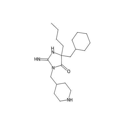 CCCCC1(CC2CCCCC2)NC(=N)N(CC2CCNCC2)C1=O